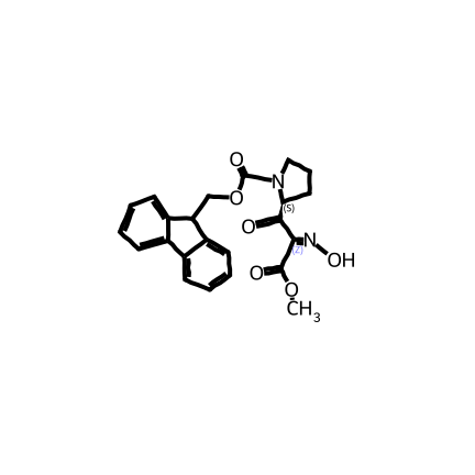 COC(=O)/C(=N\O)C(=O)[C@@H]1CCCN1C(=O)OCC1c2ccccc2-c2ccccc21